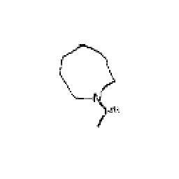 CNN1CCCCCC1